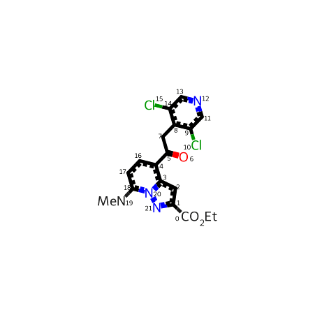 CCOC(=O)c1cc2c(C(=O)Cc3c(Cl)cncc3Cl)ccc(NC)n2n1